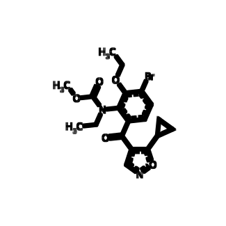 CCOc1c(Br)ccc(C(=O)c2cnoc2C2CC2)c1N(CC)C(=O)OC